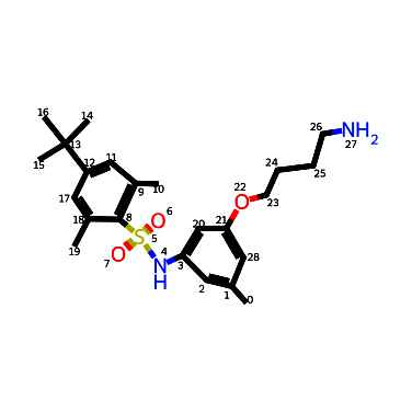 Cc1cc(NS(=O)(=O)c2c(C)cc(C(C)(C)C)cc2C)cc(OCCCCN)c1